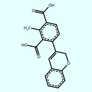 Cc1c(C(=O)O)ccc(C2=Cc3ccccc3OC2)c1C(=O)O